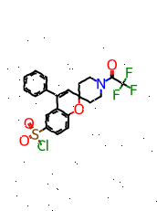 O=C(N1CCC2(C=C(c3ccccc3)c3cc(S(=O)(=O)Cl)ccc3O2)CC1)C(F)(F)F